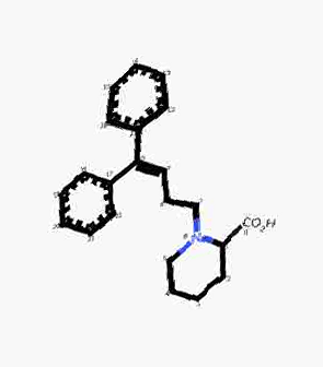 O=C(O)C1CCCCN1CCC=C(c1ccccc1)c1ccccc1